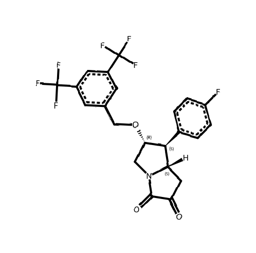 O=C1C[C@H]2[C@H](c3ccc(F)cc3)[C@@H](OCc3cc(C(F)(F)F)cc(C(F)(F)F)c3)CN2C1=O